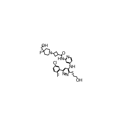 O=C(Nc1cc(Nc2cc(-c3cc(Cl)ccc3F)nnc2SCCO)ccn1)C1CC(N2CCC(F)(SO)CC2)C1